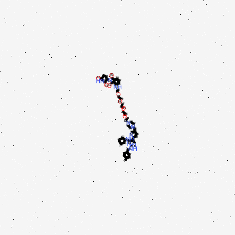 Cc1ccc(CNc2ncc(-c3ccc(CN4CCN(CCOCCOCCOCCOCCNc5cccc6c5C(=O)N(C5CCC(=O)NC5=O)C6=O)CC4)cn3)c(NC3CCCCC3)n2)cc1